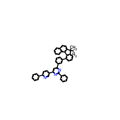 CC1(C)c2cccc(-c3cccc(-c4cc(-c5ccc(-c6ccccc6)nc5)nc(-c5ccccc5)n4)c3)c2-c2c1ccc1ccccc21